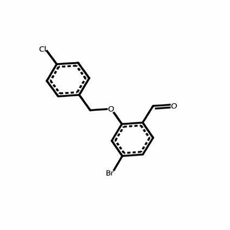 O=Cc1ccc(Br)cc1OCc1ccc(Cl)cc1